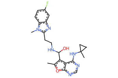 Cc1oc2ncnc(NC3(C)CC3)c2c1C(O)NCCc1nc2cc(F)ccc2n1C